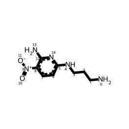 NCCCNc1ccc([N+](=O)[O-])c(N)n1